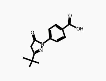 CC(C)(C)C1=NN(c2ccc(C(=O)O)cc2)C(=O)C1